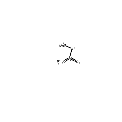 CNO[S-](=O)=O.[K+]